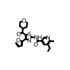 CCc1cc(C(=O)Nc2nc(-c3ccco3)c(C(=O)C3CCOCC3)s2)cnc1C